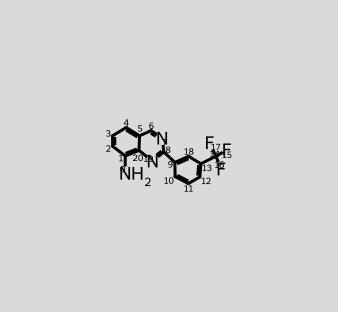 Nc1cccc2cnc(-c3cccc(C(F)(F)F)c3)nc12